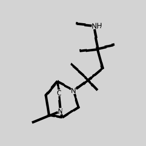 CNC(C)(C)CC(C)(C)N1CC2CCC1CN2C